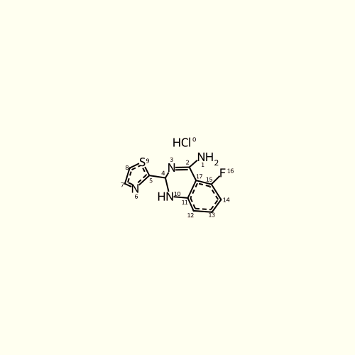 Cl.NC1=NC(c2nccs2)Nc2cccc(F)c21